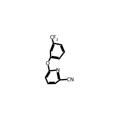 N#Cc1cccc(Oc2cccc(C(F)(F)F)c2)n1